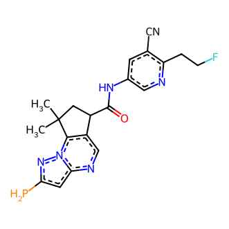 CC1(C)CC(C(=O)Nc2cnc(CCF)c(C#N)c2)c2cnc3cc(P)nn3c21